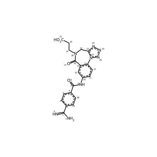 N=C(N)c1ccc(C(=O)Nc2ccc3c(c2)C(=O)N(CCC(=O)O)Cc2nnnn2-3)cc1